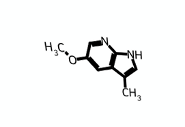 COc1cnc2[nH]cc(C)c2c1